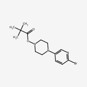 CC(C)(C)C(=O)ON1CCN(c2ccc(Br)nc2)CC1